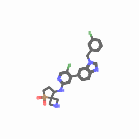 O=S1(=O)CCC(Nc2cc(-c3ccc4ncn(Cc5cccc(F)c5)c4c3)c(Cl)cn2)C12CNC2